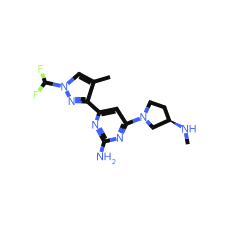 CN[C@@H]1CCN(c2cc(-c3nn(C(F)F)cc3C)nc(N)n2)C1